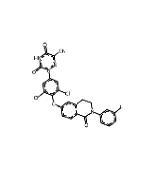 N#Cc1nn(-c2cc(Cl)c(Oc3ccc4c(c3)CCN(c3cccc(F)c3)C4=O)c(Cl)c2)c(=O)[nH]c1=O